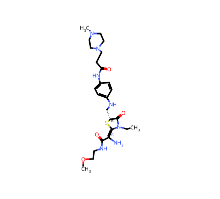 CCN1C(=O)[C@@H](CNc2ccc(NC(=O)CCN3CCN(C)CC3)cc2)S/C1=C(/N)C(=O)NCCOC